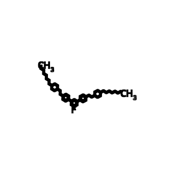 CCCCCCCCC1CCC(CCc2ccc(-c3cc(F)cc(-c4ccc(CCC5CCC(CCCCCCCC)CC5)cc4)c3)cc2)CC1